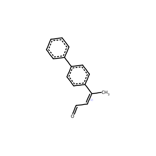 C/C(=C/C=O)c1ccc(-c2ccccc2)cc1